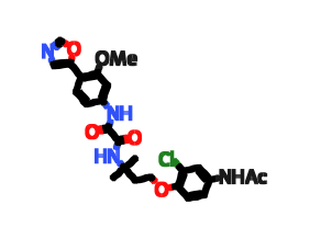 COc1cc(NC(=O)C(=O)NC(C)(C)CCOc2ccc(NC(C)=O)cc2Cl)ccc1-c1cnco1